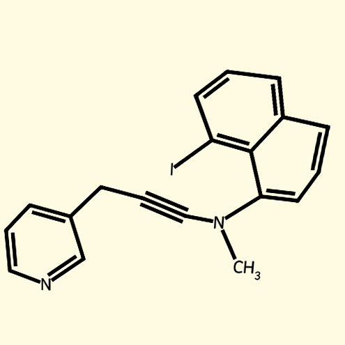 CN(C#CCc1cccnc1)c1cccc2cccc(I)c12